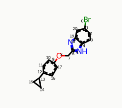 Brc1ccc2[nH]c(COc3ccc(C4CC4)cc3)nc2c1